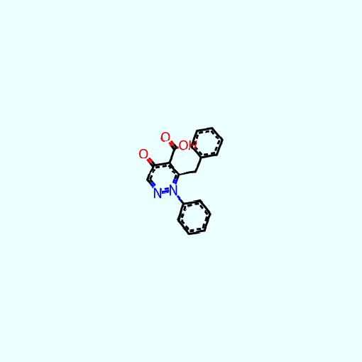 O=C(O)c1c(Cc2ccccc2)n(-c2ccccc2)ncc1=O